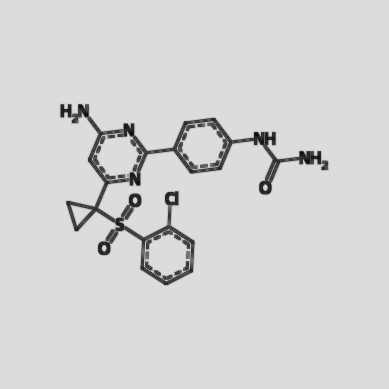 NC(=O)Nc1ccc(-c2nc(N)cc(C3(S(=O)(=O)c4ccccc4Cl)CC3)n2)cc1